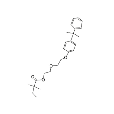 CCC(C)(C)C(=O)OCCOCCOc1ccc(C(C)(C)c2ccccc2)cc1